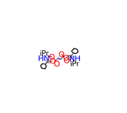 CC(C)C(=O)N[C@H](COC(=O)/C=C/C(=O)OC[C@@H](NC(=O)C(C)C)c1ccccc1)c1ccccc1